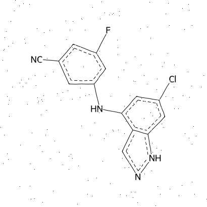 N#Cc1cc(F)cc(Nc2cc(Cl)cc3[nH]ncc23)c1